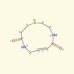 O=C1/C=C/CNC(=O)CCSCCN1